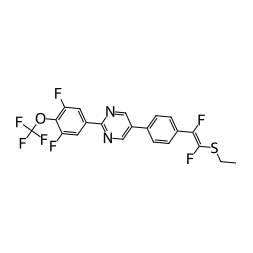 CCS/C(F)=C(\F)c1ccc(-c2cnc(-c3cc(F)c(OC(F)(F)F)c(F)c3)nc2)cc1